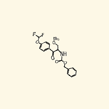 CC(C)(C)OCC(NC(=O)OCc1ccccc1)C(=O)c1ccc(OC(F)F)cc1